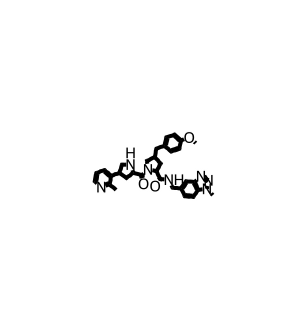 COc1ccc(CC2CC(C(=O)NCc3ccc4c(c3)nnn4C)N(C(=O)C3CC(c4cccnc4C)CN3)C2)cc1